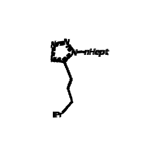 CCCCCCCn1nncc1CCCC(C)C